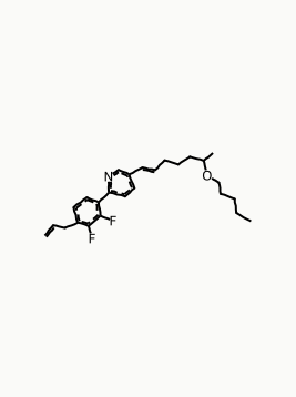 C=CCc1ccc(-c2ccc(C=CCCCC(C)OCCCCC)cn2)c(F)c1F